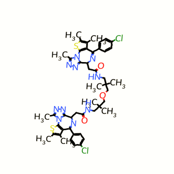 Cc1sc2c(c1C)C(c1ccc(Cl)cc1)=NC(CC(=O)NCC(C)(C)COCC(C)(C)CNC(=O)CC1N=C(c3ccc(Cl)cc3)c3c(sc(C)c3C)-n3c(C)nnc31)c1nnc(C)n1-2